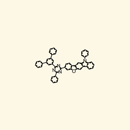 c1ccc(-c2cc(-c3ccccc3)cc(-c3nc(-c4ccccc4)nc(-c4ccc5c(c4)oc4cc6c7ccccc7n(-c7ccccc7)c6cc45)n3)c2)cc1